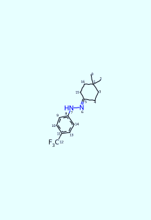 CC1(C)CCC(=NNc2ccc(C(F)(F)F)cc2)CC1